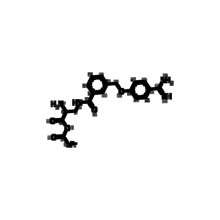 CCCC(=O)OC(=O)C(N)CNC(=O)c1cccc(COc2ccc(C(=N)N)cc2)c1